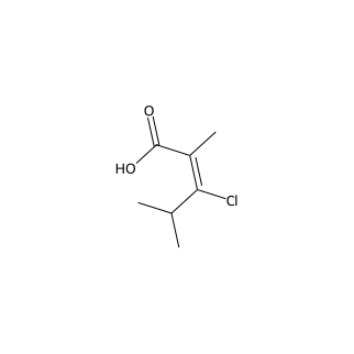 CC(C(=O)O)=C(Cl)C(C)C